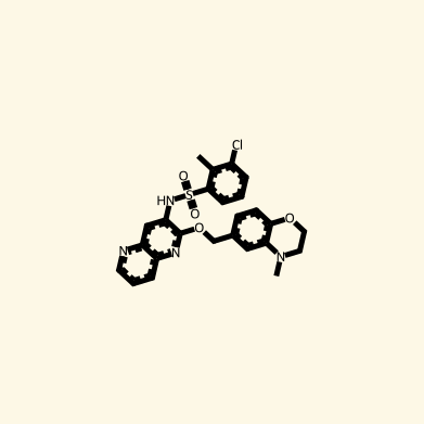 Cc1c(Cl)cccc1S(=O)(=O)Nc1cc2ncccc2nc1OCc1ccc2c(c1)N(C)CCO2